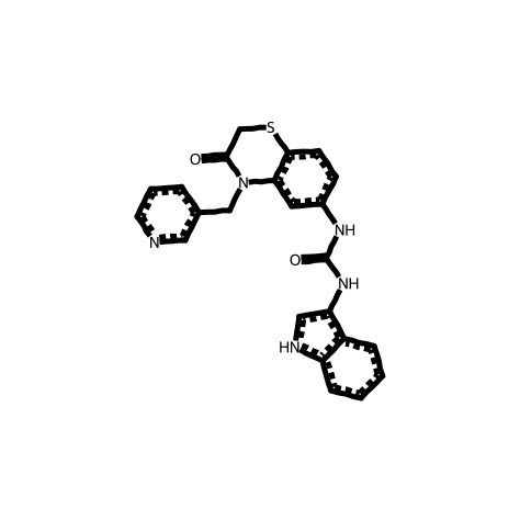 O=C(Nc1ccc2c(c1)N(Cc1cccnc1)C(=O)CS2)Nc1c[nH]c2ccccc12